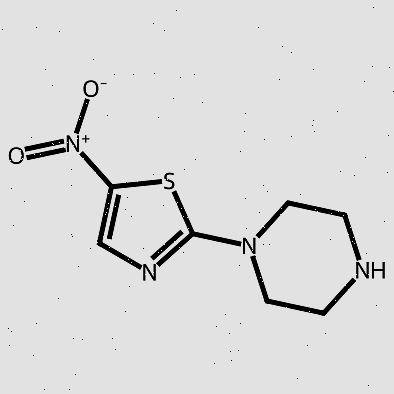 O=[N+]([O-])c1cnc(N2CCNCC2)s1